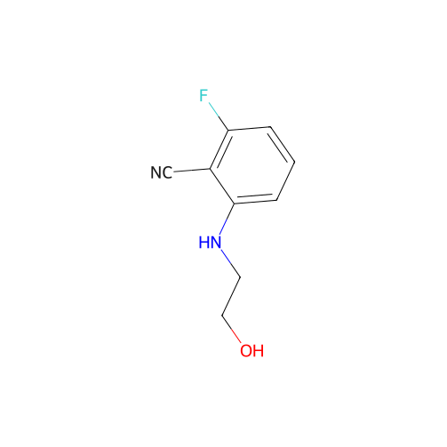 N#Cc1c(F)cccc1NCCO